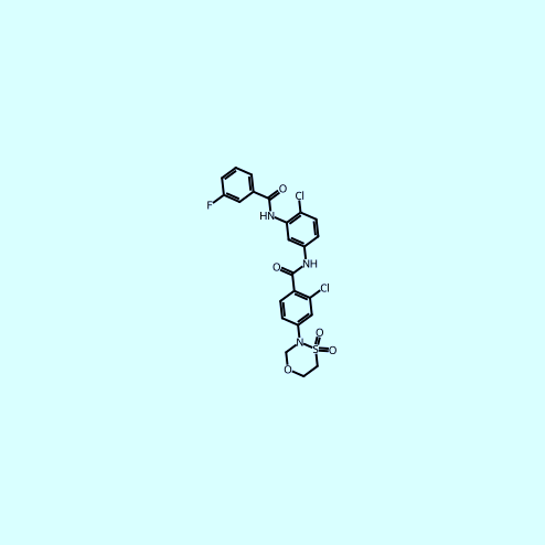 O=C(Nc1cc(NC(=O)c2ccc(N3COCCS3(=O)=O)cc2Cl)ccc1Cl)c1cccc(F)c1